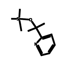 CC(C)(O[Si](C)(C)C)c1ccccn1